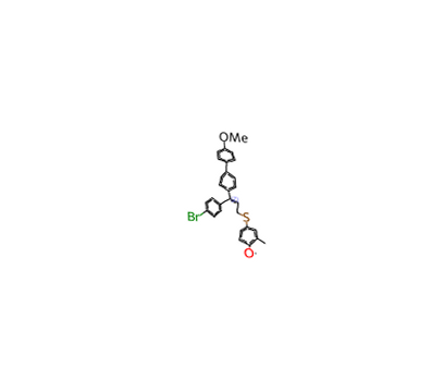 COc1ccc(-c2ccc(/C(=C/CSc3ccc([O])c(C)c3)c3ccc(Br)cc3)cc2)cc1